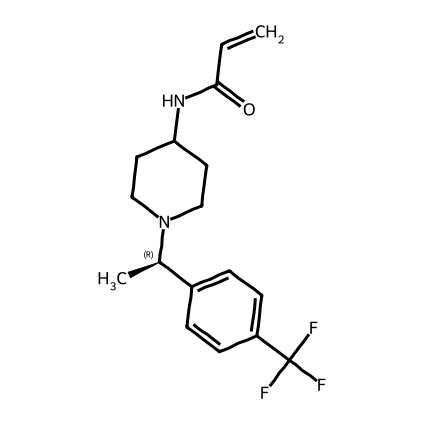 C=CC(=O)NC1CCN([C@H](C)c2ccc(C(F)(F)F)cc2)CC1